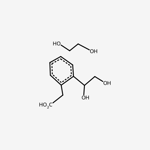 O=C(O)Cc1ccccc1C(O)CO.OCCO